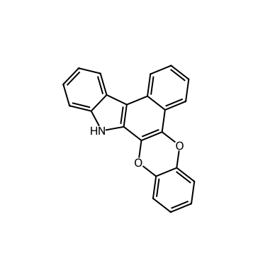 c1ccc2c(c1)Oc1c(c3[nH]c4ccccc4c3c3ccccc13)O2